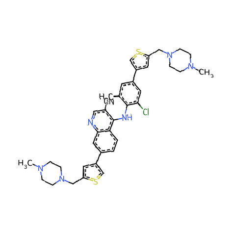 Cc1cc(-c2csc(CN3CCN(C)CC3)c2)cc(Cl)c1Nc1c(C#N)cnc2cc(-c3csc(CN4CCN(C)CC4)c3)ccc12